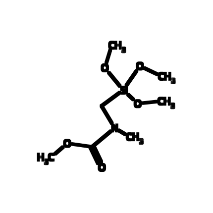 COC(=O)N(C)C[Si](OC)(OC)OC